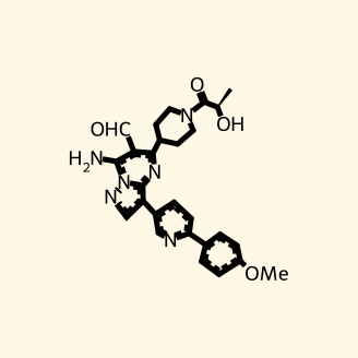 COc1ccc(-c2ccc(-c3cnn4c(N)c(C=O)c(C5CCN(C(=O)[C@@H](C)O)CC5)nc34)cn2)cc1